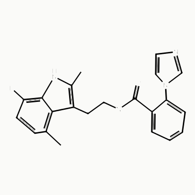 Cc1[nH]c2c(F)ccc(C)c2c1CCNC(=O)c1ccccc1-n1ccnc1